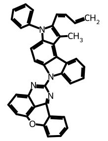 C=C/C=C\c1c(C)c2c3c4ccccc4n(-c4nc5c6c(cccc6n4)Oc4ccccc4-5)c3ccc2n1-c1ccccc1